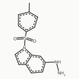 Cc1ccc(S(=O)(=O)n2ccc3ccc(NN)cc32)cc1